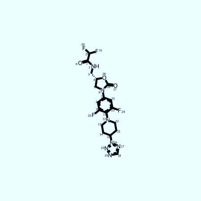 O=C(NC[C@H]1CN(c2cc(F)c(N3CCC(n4ncnn4)CC3)c(F)c2)C(=O)O1)C(F)F